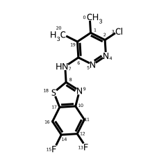 Cc1c(Cl)nnc(Nc2nc3cc(F)c(F)cc3s2)c1C